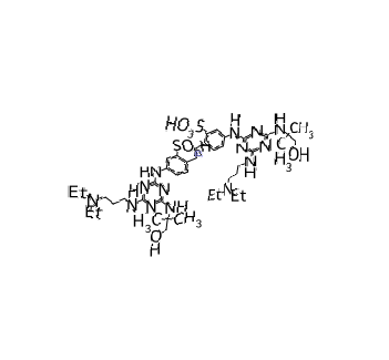 CCN(CC)CCCNc1nc(Nc2ccc(/C=C/c3ccc(Nc4nc(NCCCN(CC)CC)nc(NC(C)(C)CO)n4)cc3S(=O)(=O)O)c(S(=O)(=O)O)c2)nc(NC(C)(C)CO)n1